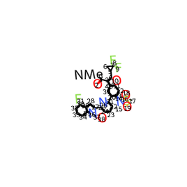 CNC(=O)c1c(C2CC2(F)F)oc2cc(N(C)S(C)(=O)=O)c(-c3ccc4c(n3)-c3cc5c(F)cccc5n3CO4)cc12